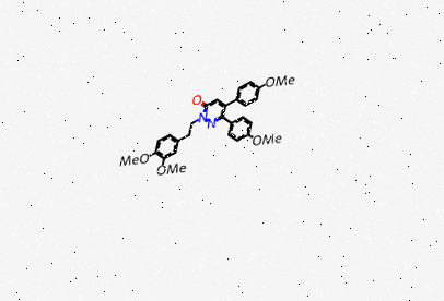 COc1ccc(-c2cc(=O)n(CCc3ccc(OC)c(OC)c3)nc2-c2ccc(OC)cc2)cc1